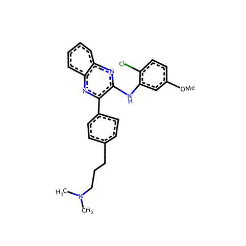 COc1ccc(Cl)c(Nc2nc3ccccc3nc2-c2ccc(CCCN(C)C)cc2)c1